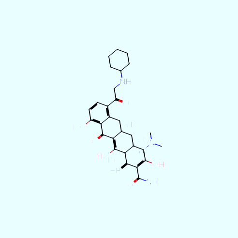 B=C1C(C(N)=O)=C(O)[C@H](N(C)C)[C@@H]2C[C@@H]3Cc4c(C(=O)CNC5CCCCC5)ccc(O)c4C(=O)C3=C(O)[C@]12O